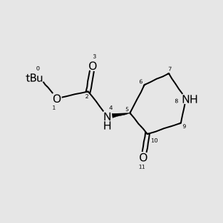 CC(C)(C)OC(=O)N[C@H]1CCNCC1=O